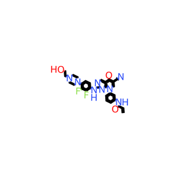 C=CC(=O)Nc1cccc(-n2cc(C#N)c(=O)c3cnc(Nc4ccc(N5CCN(CCO)CC5)c(F)c4F)nc32)c1